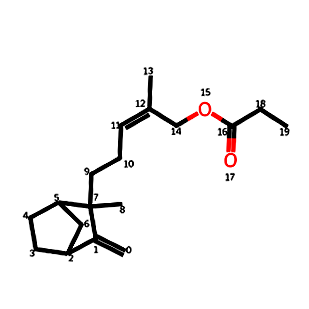 C=C1C2CCC(C2)C1(C)CCC=C(C)COC(=O)CC